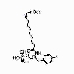 CCCCCCCC/C=C\CCCCCCCC(=O)N[C@H](CO[PH](O)(O)O)Cc1ccc(I)cc1